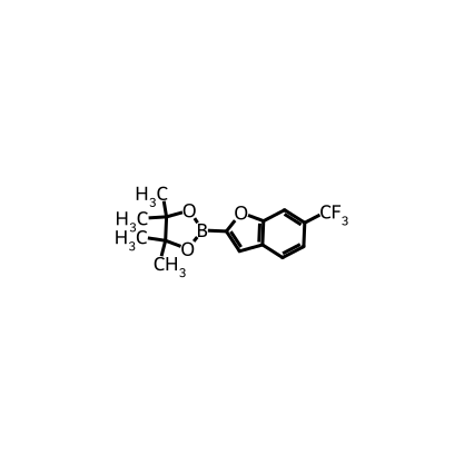 CC1(C)OB(c2cc3ccc(C(F)(F)F)cc3o2)OC1(C)C